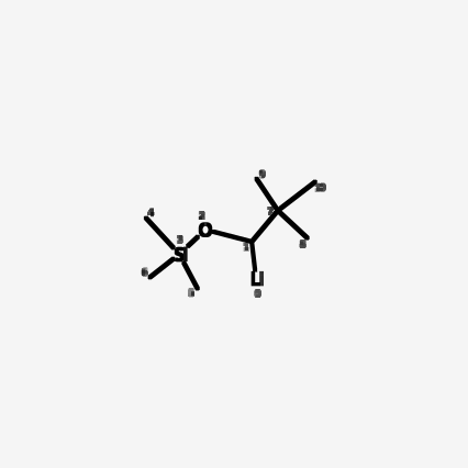 [Li][CH](O[Si](C)(C)C)C(C)(C)C